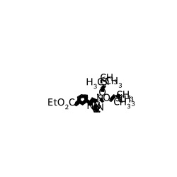 CCOC(=O)/C=C1\CCCC(c2cc(N(COCC[Si](C)(C)C)COCC[Si](C)(C)C)n3nccc3n2)C1